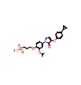 O=C1C(Oc2ccc(C3CC3)cc2)=CCN1c1ccc(OCCCS(=O)(=O)O)c(OC(F)F)c1